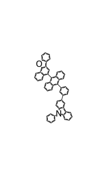 c1ccc(-n2c3ccccc3c3cc(-c4cccc(-c5c6ccccc6c(-c6cc7c8ccccc8oc7c7ccccc67)c6ccccc56)c4)ccc32)cc1